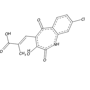 C/C(=C\c1c(O)c(=O)[nH]c2cc(Cl)ccc2c1=O)C(=O)O